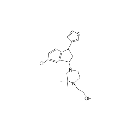 CC1(C)CN(C2CC(c3ccsc3)c3ccc(Cl)cc32)CCN1CCO